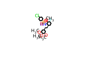 COc1cc(C=Cc2ccc(F)c(OC)c2NS(=O)(=O)c2ccc(Cl)cc2)cc(OC)c1OC